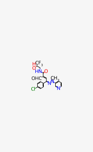 CN(/N=C(\C=C(/C=O)C(=O)NCC(O)C(F)(F)F)c1ccc(Cl)cc1)c1cccnc1